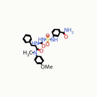 COc1ccc(N(C)C(=O)C(Cc2ccccc2)NC(=O)NS(=O)(=O)Nc2cccc(C(N)=O)c2)cc1